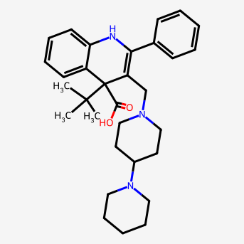 CC(C)(C)C1(C(=O)O)C(CN2CCC(N3CCCCC3)CC2)=C(c2ccccc2)Nc2ccccc21